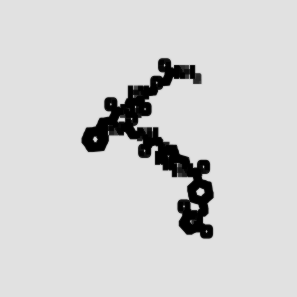 NC(=O)COCNC(=O)CNC(=O)C(Cc1ccccc1)NC(=O)CNC(=O)Cn1cc(CNC(=O)C2CCC(CN3C(=O)C=CC3=O)CC2)nn1